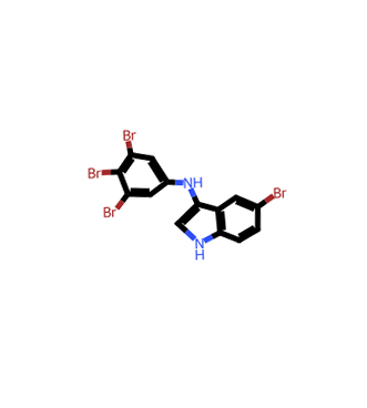 Brc1ccc2[nH]cc(Nc3cc(Br)c(Br)c(Br)c3)c2c1